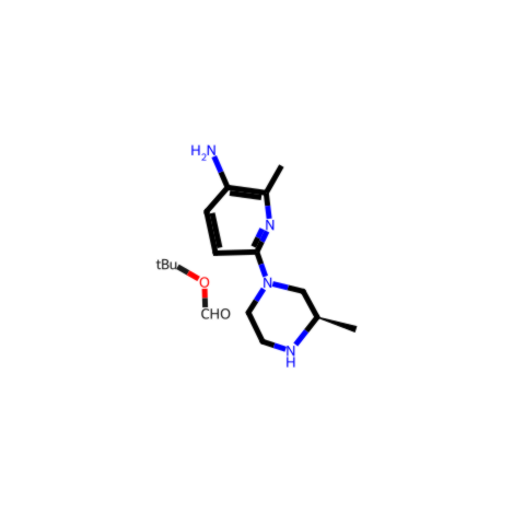 CC(C)(C)OC=O.Cc1nc(N2CCN[C@H](C)C2)ccc1N